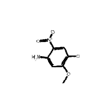 COc1cc(N)c([N+](=O)[O-])cc1Cl